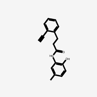 C#Cc1ccccc1CCC(=O)Nc1cc(C)ccc1O